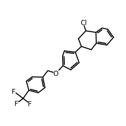 FC(F)(F)c1ccc(COc2ccc(C3Cc4ccccc4C(Cl)C3)cc2)cc1